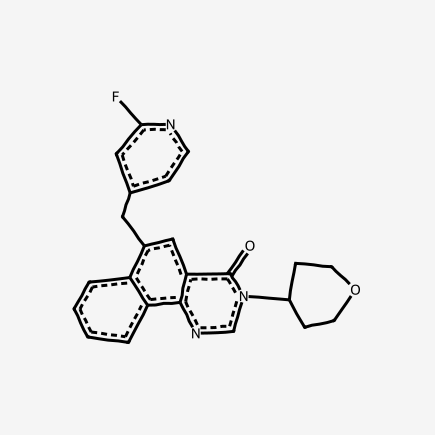 O=c1c2cc(Cc3ccnc(F)c3)c3ccccc3c2ncn1C1CCOCC1